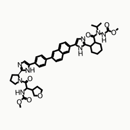 COC(=O)NC(C(=O)N1CCC[C@H]1c1ncc(-c2ccc(-c3ccc4cc(-c5cnc(C6CCCCC6C(=O)N(NC(=O)OC)C(C)C)[nH]5)ccc4c3)cc2)[nH]1)C1CCOC1